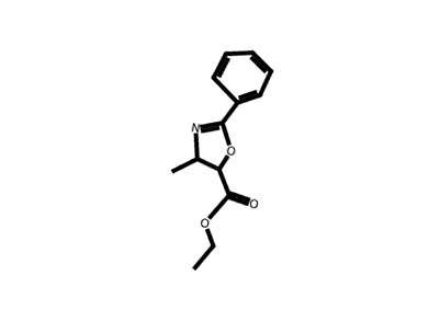 CCOC(=O)C1OC(c2ccccc2)=NC1C